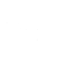 C=CC12CCC(OC(C)=O)(C=C1F)CC2